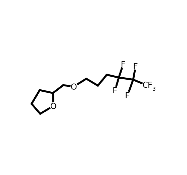 FC(F)(F)C(F)(F)C(F)(F)CCCOCC1CCCO1